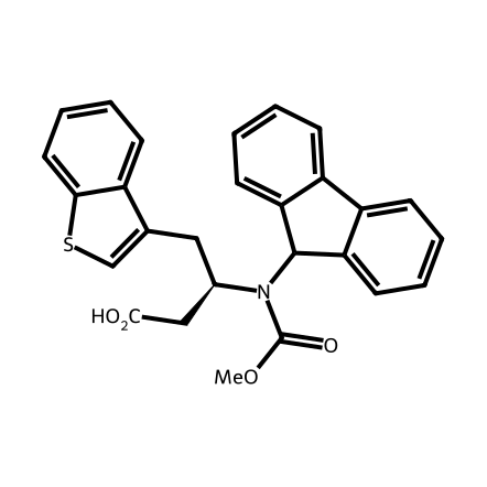 COC(=O)N(C1c2ccccc2-c2ccccc21)[C@@H](CC(=O)O)Cc1csc2ccccc12